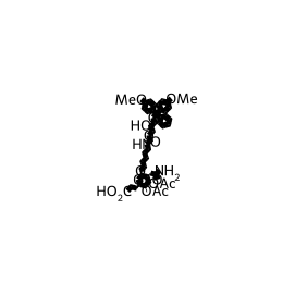 COc1ccc(C(OC[C@@H](O)COC(=O)NCCCCCO[C@@H]2O[C@H]([CH]CC(=O)O)[C@@H](OC(C)=O)[C@H](OC(C)=O)[C@H]2CC(N)=O)(c2ccccc2)c2ccc(OC)cc2)cc1